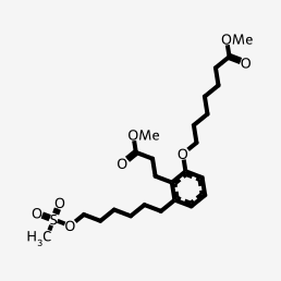 COC(=O)CCCCCCOc1cccc(CCCCCCOS(C)(=O)=O)c1CCC(=O)OC